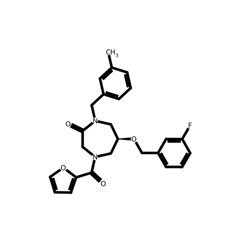 Cc1cccc(CN2C[C@@H](OCc3cccc(F)c3)CN(C(=O)c3ccco3)CC2=O)c1